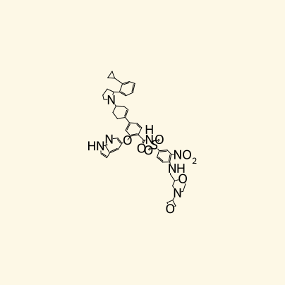 O=C(NS(=O)(=O)c1ccc(NCC2CN(C3COC3)CCO2)c([N+](=O)[O-])c1)c1ccc(C2=CCC(N3CCCC3c3ccccc3C3CC3)CC2)cc1Oc1cnc2[nH]ccc2c1